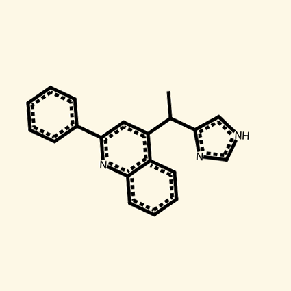 CC(c1c[nH]cn1)c1cc(-c2ccccc2)nc2ccccc12